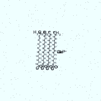 CCCCCCCCCCCCCCCCCC(=O)[O-].CCCCCCCCCCCCCCCCCC(=O)[O-].CCCCCCCCCCCCCCCCCC(=O)[O-].CCCCCCCCCCCCCCCCCC(=O)[O-].[Ba+2].[Ca+2]